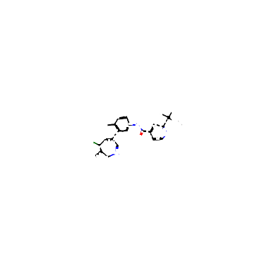 C=C1CN=CC(c2cc(NC(=O)c3ccnc(C(C)(C)C#N)c3)ccc2C)=CC1Cl